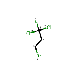 ClC(Cl)(Cl)CCBr